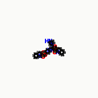 O=C([C@H](Cc1ccc(OS(=O)(=O)c2ccc3ccccc3n2)cc1)NS(=O)(=O)c1ccc2ccccc2n1)N1CCNCC1